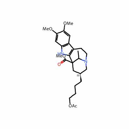 COC(=O)C12C[C@H](CCCCOC(C)=O)CN(CCc3c1[nH]c1cc(OC)c(OC)cc31)C2C